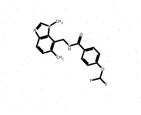 Cc1ccc2ncn(C)c2c1CNC(=O)c1ccc(OC(F)F)cc1